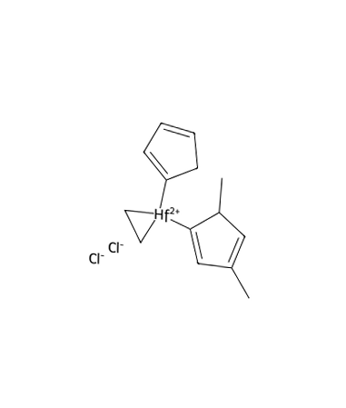 CC1=CC(C)[C]([Hf+2]2([C]3=CC=CC3)[CH2][CH2]2)=C1.[Cl-].[Cl-]